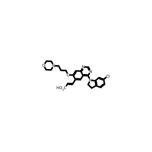 O=C(O)C=Cc1cc2c(N3CCc4ccc(Cl)cc43)ncnc2cc1OCCCN1CCOCC1